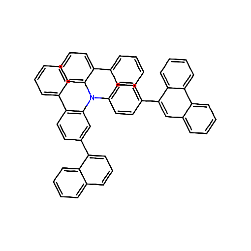 c1ccc(-c2ccccc2N(c2ccc(-c3cc4ccccc4c4ccccc34)cc2)c2cc(-c3cccc4ccccc34)ccc2-c2ccccc2)cc1